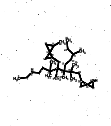 CCNCCC(C)(C)C(C)(CC1CC12CC2C)C(C)(CCC(C)CC)C(C)(C)CC1CC12CN2